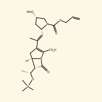 C=CCOC(=O)N1C[C@@H](OC)C[C@H]1/C=C(\C)C1=C(C(=O)O)N2C(=O)[C@H]([C@@H](C)O[Si](C)(C)C)[C@H]2C1